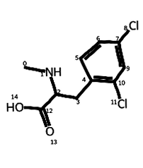 CNC(Cc1ccc(Cl)cc1Cl)C(=O)O